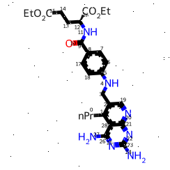 CCCc1c(CNc2ccc(C(=O)N[C@@H](CCC(=O)OCC)C(=O)OCC)cc2)cnc2nc(N)nc(N)c12